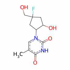 Cc1cn(C2CC(F)(CO)CC2O)c(=O)[nH]c1=O